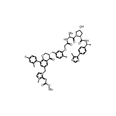 Cc1cc(F)ccc1-c1cc(Cn2ccn(C)c2=NC(=O)OC(C)(C)C)cc2c1OC[C@H](Cc1ccc(F)c(OCC(=O)N[C@H](C(=O)N3C[C@H](O)C[C@H]3C(=O)N[C@@H](C)c3ccc(-c4scnc4C)cc3)C(C)(C)C)c1)C2=O